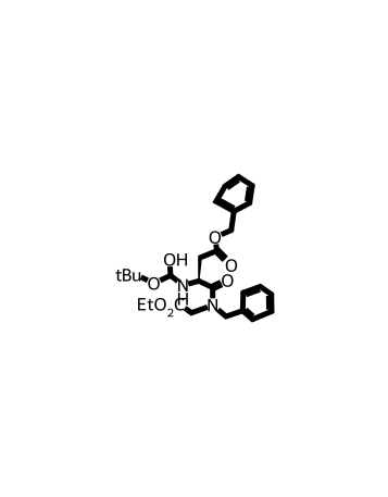 CCOC(=O)CN(Cc1ccccc1)C(=O)[C@H](CC(=O)OCc1ccccc1)NC(O)OC(C)(C)C